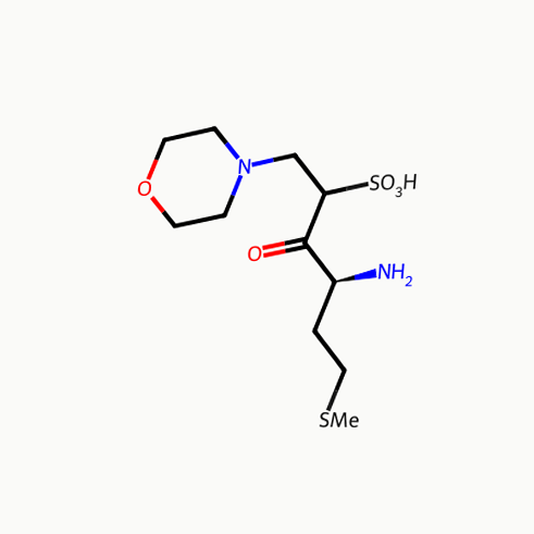 CSCC[C@H](N)C(=O)C(CN1CCOCC1)S(=O)(=O)O